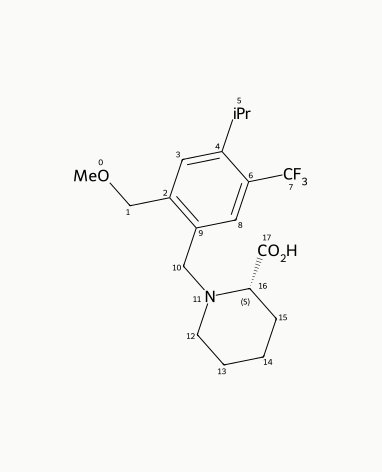 COCc1cc(C(C)C)c(C(F)(F)F)cc1CN1CCCC[C@H]1C(=O)O